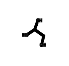 OC[C](O)O